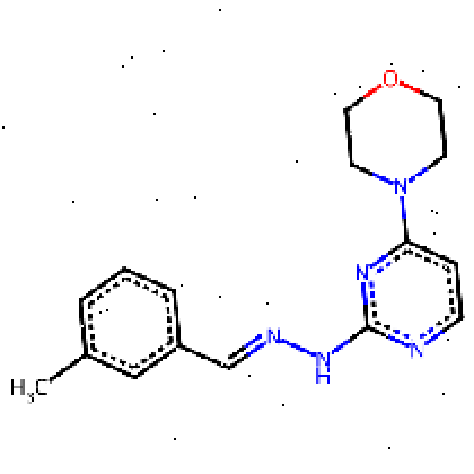 Cc1cccc(/C=N/Nc2nccc(N3CCOCC3)n2)c1